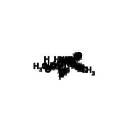 CNC(=O)c1ccc(-c2cc3[nH]nc(NC(=O)c4ccc(N5CCN(C)CC5)cc4NC4CCOCC4)c3cc2Cc2cc(F)cc(F)c2)cc1